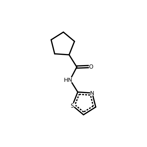 O=C(Nc1nccs1)C1CCCC1